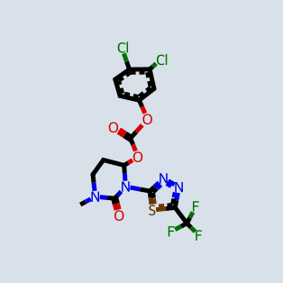 CN1CCC(OC(=O)Oc2ccc(Cl)c(Cl)c2)N(c2nnc(C(F)(F)F)s2)C1=O